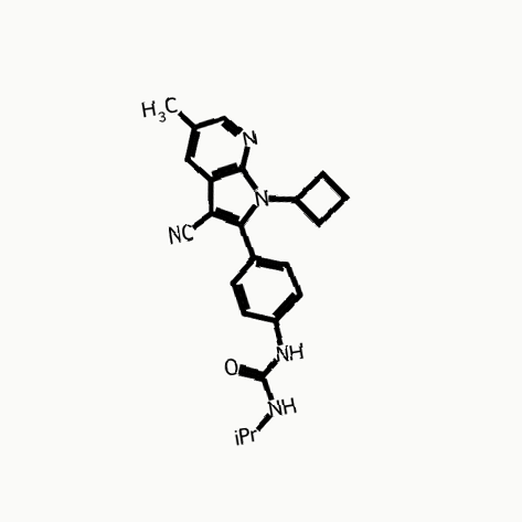 Cc1cnc2c(c1)c(C#N)c(-c1ccc(NC(=O)NC(C)C)cc1)n2C1CCC1